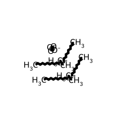 CCCCCCCCCCC[N+](C)(C)CCCCCCCCCC.CCCCCCCCCCC[N+](C)(C)CCCCCCCCCC.O=S(=O)([O-])[O-]